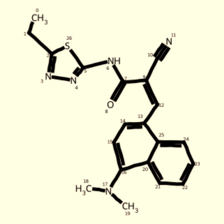 CCc1nnc(NC(=O)C(C#N)=Cc2ccc(N(C)C)c3ccccc23)s1